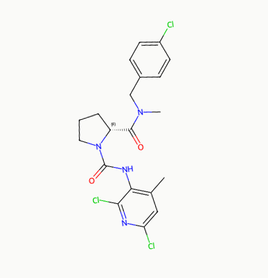 Cc1cc(Cl)nc(Cl)c1NC(=O)N1CCC[C@@H]1C(=O)N(C)Cc1ccc(Cl)cc1